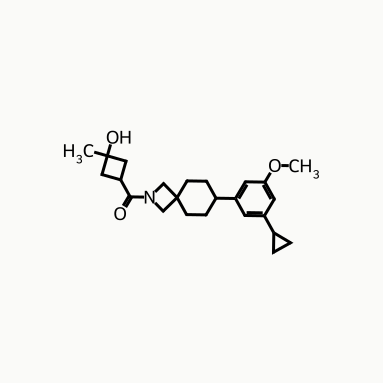 COc1cc(C2CC2)cc(C2CCC3(CC2)CN(C(=O)C2CC(C)(O)C2)C3)c1